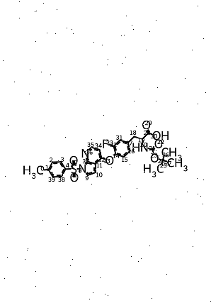 Cc1ccc(S(=O)(=O)n2ccc3c(Oc4ccc(C[C@H](NC(=O)OC(C)(C)C)C(=O)O)cc4F)ccnc32)cc1